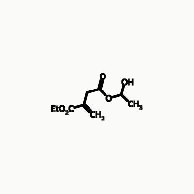 C=C(CC(=O)OC(C)O)C(=O)OCC